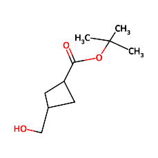 CC(C)(C)OC(=O)C1CC(CO)C1